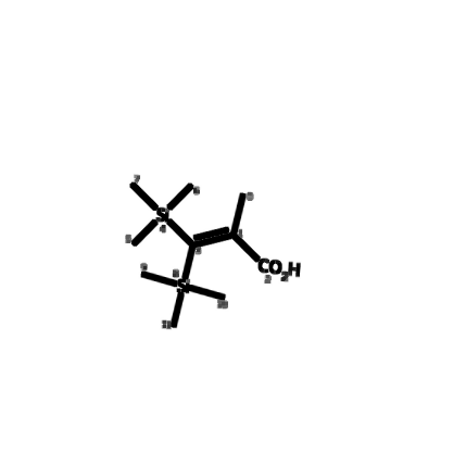 CC(C(=O)O)=C([Si](C)(C)C)[Si](C)(C)C